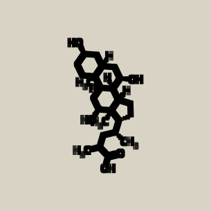 CC(C[C@@H](C)[C@H]1CC[C@H]2[C@@H]3[C@H](O)C[C@@H]4C[C@H](O)CC[C@]4(C)[C@H]3C[C@H](O)[C@]12C)C(=O)O